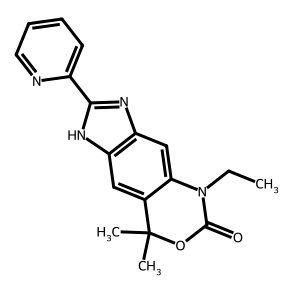 CCN1C(=O)OC(C)(C)c2cc3[nH]c(-c4ccccn4)nc3cc21